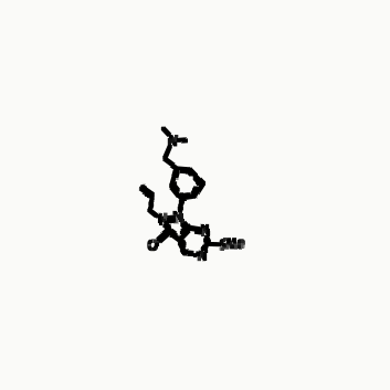 C=CCn1c(=O)c2cnc(SC)nc2n1-c1cccc(CN(C)C)c1